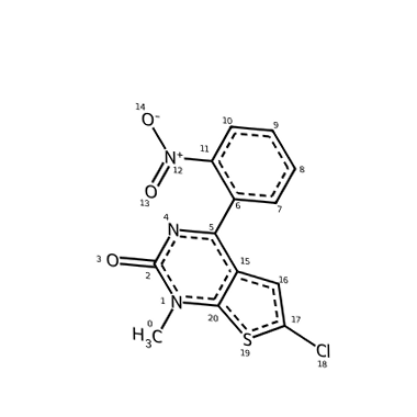 Cn1c(=O)nc(-c2ccccc2[N+](=O)[O-])c2cc(Cl)sc21